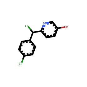 Clc1ccc(C(Cl)c2ccc(Br)cn2)cc1